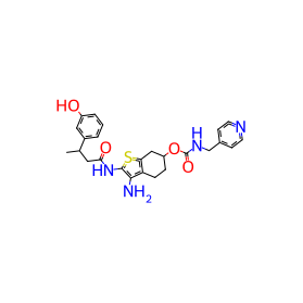 CC(CC(=O)Nc1sc2c(c1N)CCC(OC(=O)NCc1ccncc1)C2)c1cccc(O)c1